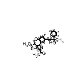 CN(C)C1COc2cc(F)c(C#CC(C)(O)c3ccccn3)cc2-c2nc(C(N)=O)sc21